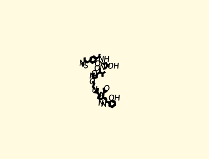 Cc1ncsc1-c1ccc(C(C)NC(=O)[C@@H]2C[C@@H](O)CN2C(=O)C(c2cc(OCCN3CC(c4cc5nnc(-c6ccccc6O)cc5n4C4COC4)C3)no2)C(C)C)cc1